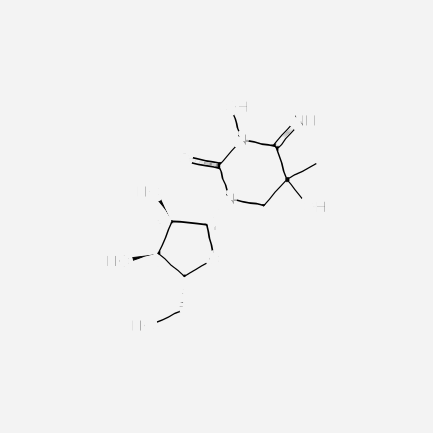 CC1(O)CN([C@@H]2O[C@H](CO)[C@@H](O)[C@H]2O)C(=O)N(O)C1=N